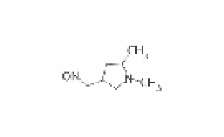 CC1CC(CN=O)CN1C